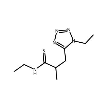 CCNC(=S)C(C)Cc1nnnn1CC